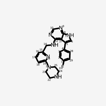 Fc1ccc(-c2c[nH]c3ncnc(NCc4cccc(N5CCNCC5)n4)c23)cc1